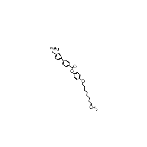 C=CCCCCCCCOc1ccc(OC(=O)c2ccc(-c3ccc(C[C@@H](C)CC)cc3)cc2)cc1